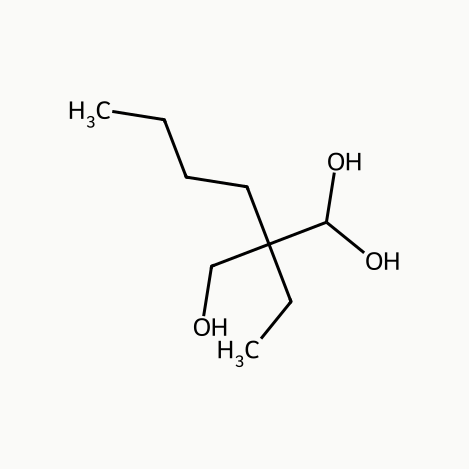 CCCCC(CC)(CO)C(O)O